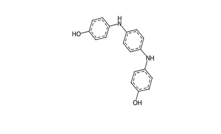 Oc1ccc(Nc2ccc(Nc3ccc(O)cc3)cc2)cc1